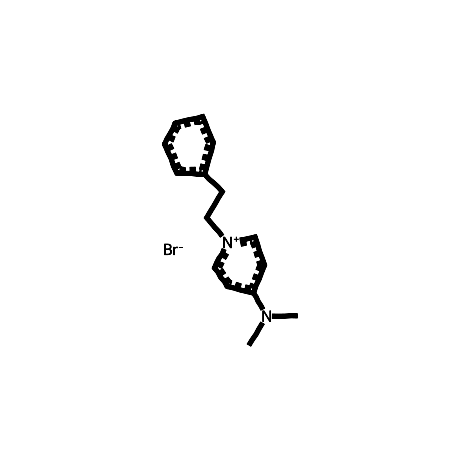 CN(C)c1cc[n+](CCc2ccccc2)cc1.[Br-]